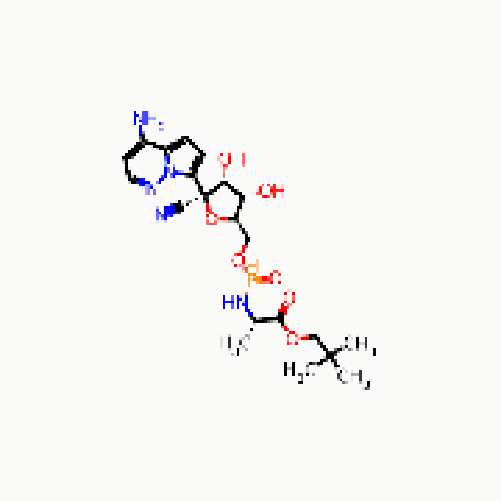 C[C@H](N[PH](=O)OC[C@H]1O[C@@](C#N)(c2ccc3c(N)ccnn23)[C@H](O)[C@@H]1O)C(=O)OCC(C)(C)C